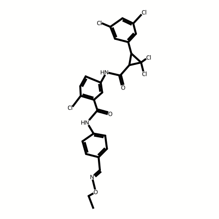 CCO/N=C/c1ccc(NC(=O)c2cc(NC(=O)C3C(c4cc(Cl)cc(Cl)c4)C3(Cl)Cl)ccc2Cl)cc1